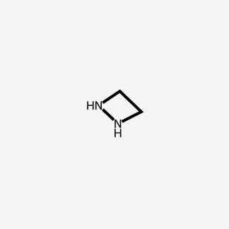 C1CNN1